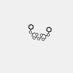 c1ccc(OC2COC(OC3OCC(Oc4ccccc4)CO3)OC2)cc1